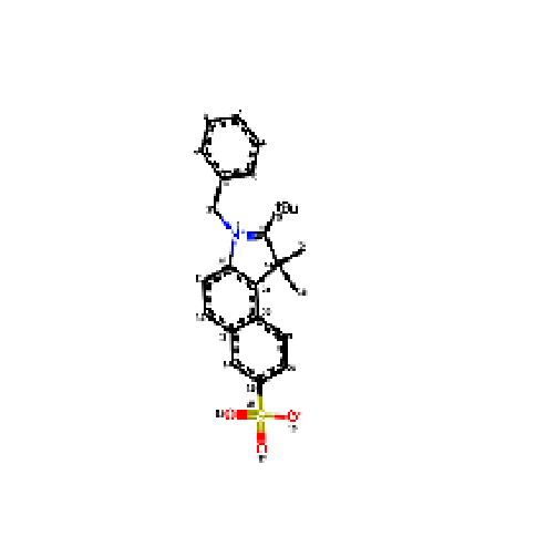 CC(C)(C)C1=[N+](Cc2ccccc2)c2ccc3cc(S(=O)(=O)[O-])ccc3c2C1(C)C